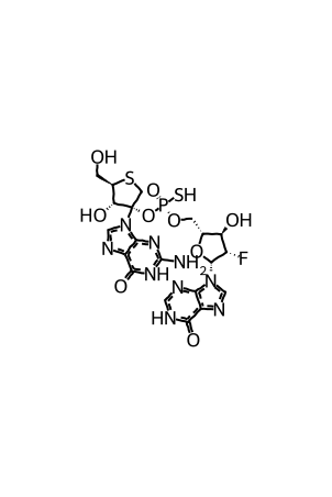 Nc1nc2c(ncn2[C@]2(OP(=O)(S)OC[C@H]3O[C@@H](n4cnc5c(=O)[nH]cnc54)[C@@H](F)[C@@H]3O)CS[C@H](CO)[C@H]2O)c(=O)[nH]1